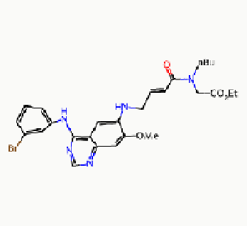 CCCCN(CC(=O)OCC)C(=O)C=CCNc1cc2c(Nc3cccc(Br)c3)ncnc2cc1OC